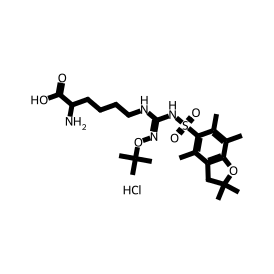 Cc1c(C)c(S(=O)(=O)NC(=NOC(C)(C)C)NCCCCC(N)C(=O)O)c(C)c2c1OC(C)(C)C2.Cl